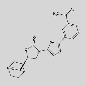 CC(=O)N(C)c1cccc(-c2ccc(N3C[C@@H](C4CN5CCC4CC5)OC3=O)s2)c1